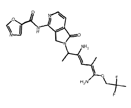 CC(/C=C(\N)C(C)N1Cc2c(ccnc2NC(=O)c2cnco2)C1=O)=C(/N)OCC(C)(F)F